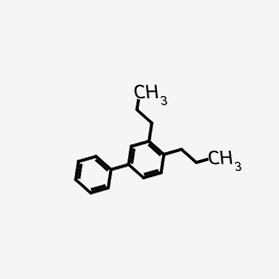 CCCc1ccc(-c2ccccc2)cc1CCC